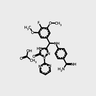 CC(=O)O.COc1cc(C(Nc2ccc(C(=N)N)cc2)c2nn(-c3ncccn3)c(=O)[nH]2)cc(OC)c1F